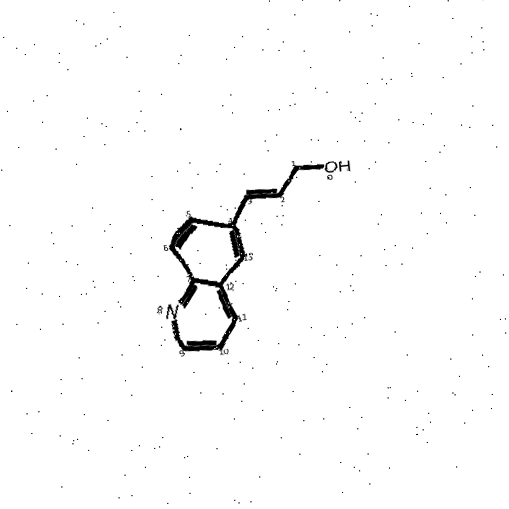 OCC=Cc1ccc2ncccc2c1